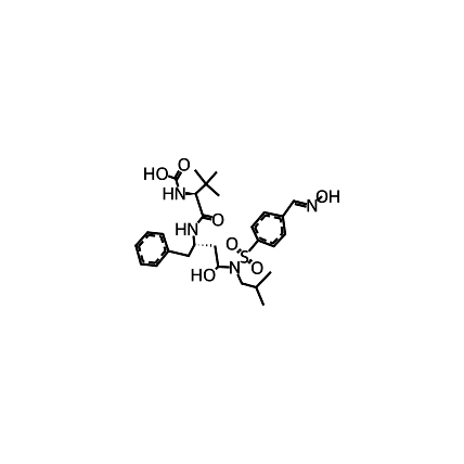 CC(C)CN(C(O)C[C@H](Cc1ccccc1)NC(=O)[C@@H](NC(=O)O)C(C)(C)C)S(=O)(=O)c1ccc(C=NO)cc1